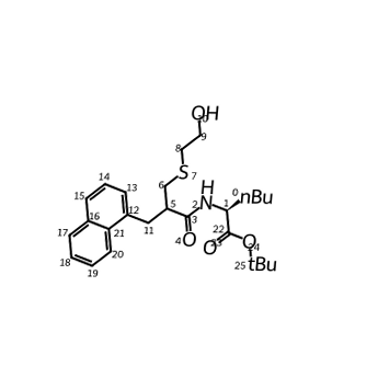 CCCC[C@H](NC(=O)C(CSCCO)Cc1cccc2ccccc12)C(=O)OC(C)(C)C